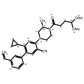 C=Cc1cc(-c2cc(C#N)c(N3CCN(C(=O)CCC(OC)OC)[C@H](C)C3)nc2C2CC2)ccn1